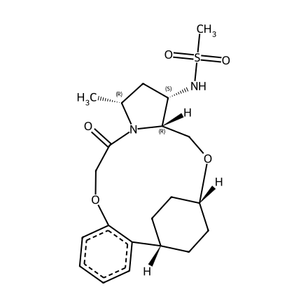 C[C@@H]1C[C@H](NS(C)(=O)=O)[C@@H]2CO[C@H]3CC[C@H](CC3)c3ccccc3OCC(=O)N12